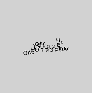 CC(=O)OCC(COC(C)=O)OC(=O)CCCCCCCC(C)OC(C)=O